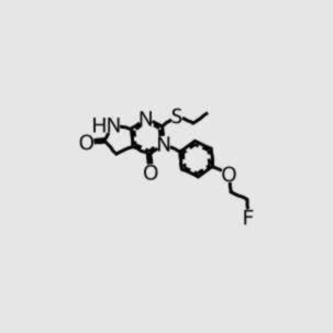 CCSc1nc2c(c(=O)n1-c1ccc(OCCF)cc1)CC(=O)N2